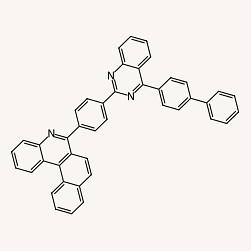 c1ccc(-c2ccc(-c3nc(-c4ccc(-c5nc6ccccc6c6c5ccc5ccccc56)cc4)nc4ccccc34)cc2)cc1